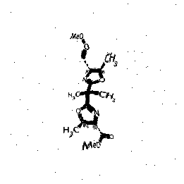 COOC[C@H]1N=C(C(C)(C)C2=N[C@H](C(=O)OC)[C@@H](C)O2)O[C@@H]1C